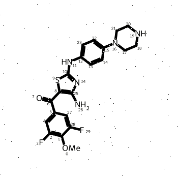 COc1c(F)cc(C(=O)c2sc(Nc3ccc(N4CCNCC4)cc3)nc2N)cc1F